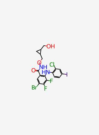 O=C(NOCC1CC1CO)c1cc(Br)c(F)c(F)c1Nc1ccc(I)cc1Cl